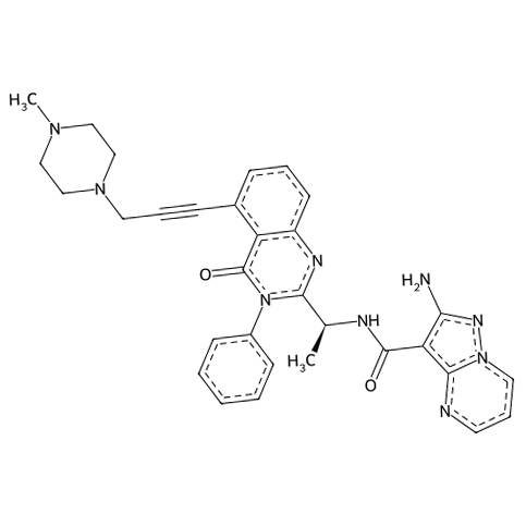 C[C@H](NC(=O)c1c(N)nn2cccnc12)c1nc2cccc(C#CCN3CCN(C)CC3)c2c(=O)n1-c1ccccc1